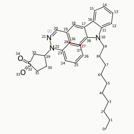 CCCCCCCCCCn1c2ccccc2c2cc(/C=N\N(c3ccccc3)C3CCS(=O)(=O)C3)ccc21